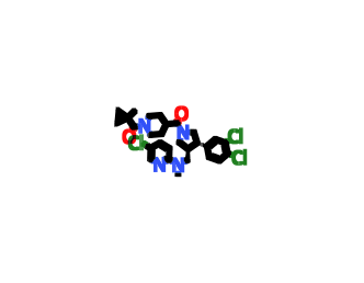 CN(C[C@H]1CN(C(=O)C2CCN(C(=O)C3(C)CC3)CC2)C[C@@H]1c1ccc(Cl)c(Cl)c1)c1ccc(Cl)cn1